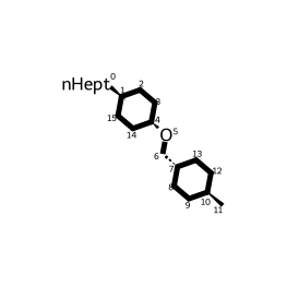 CCCCCCC[C@H]1CC[C@H](OC[C@H]2CC[C@H](C)CC2)CC1